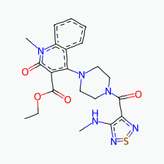 CCOC(=O)c1c(N2CCN(C(=O)c3nsnc3NC)CC2)c2ccccc2n(C)c1=O